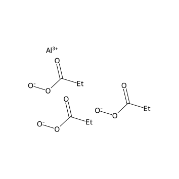 CCC(=O)O[O-].CCC(=O)O[O-].CCC(=O)O[O-].[Al+3]